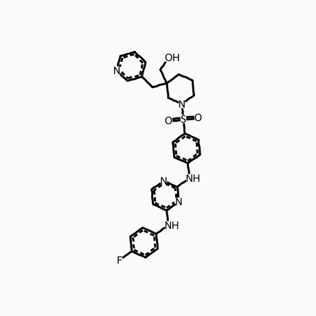 O=S(=O)(c1ccc(Nc2nccc(Nc3ccc(F)cc3)n2)cc1)N1CCCC(CO)(Cc2cccnc2)C1